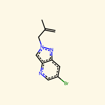 C=C(C)Cn1cc2ncc(Br)cc2n1